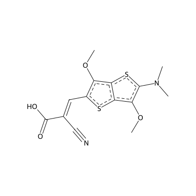 COc1c(/C=C(\C#N)C(=O)O)sc2c(OC)c(N(C)C)sc12